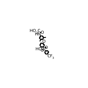 Cc1cc(NC(=O)C(=O)O)cc(C)c1Oc1ccc(O)c(S(=O)(=O)c2ccc(C(F)(F)F)cc2)c1